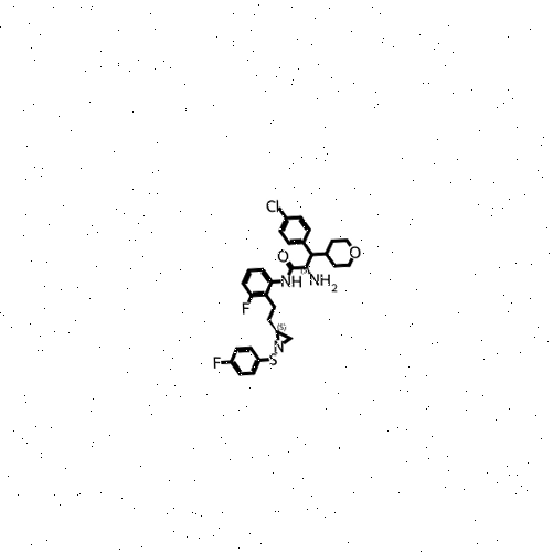 N[C@H](C(=O)Nc1cccc(F)c1CC[C@H]1CN1Sc1ccc(F)cc1)C(c1ccc(Cl)cc1)C1CCOCC1